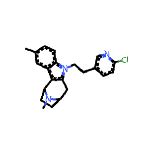 Cc1ccc2c(c1)c1c(n2CCc2ccc(Cl)nc2)CC2CCC1N2C